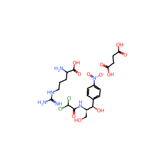 N=C(N)NCCCC(N)C(=O)O.O=C(N[C@H](CO)[C@H](O)c1ccc([N+](=O)[O-])cc1)C(Cl)Cl.O=C(O)CCC(=O)O